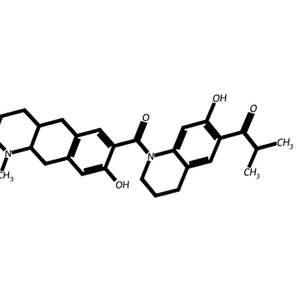 CC(C)C(=O)c1cc2c(cc1O)N(C(=O)c1cc3c(cc1O)CC1C(CCCN1C)C3)CCC2